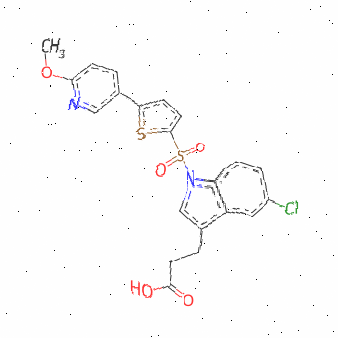 COc1ccc(-c2ccc(S(=O)(=O)n3cc(CCC(=O)O)c4cc(Cl)ccc43)s2)cn1